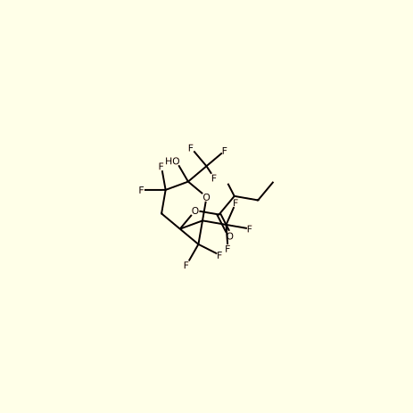 CCC(C)C(=O)OC12CC(F)(F)C(O)(C(F)(F)F)OC1(C(F)(F)F)C2(F)F